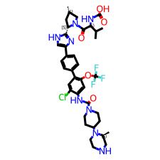 CC(C)[C@H](NC(=O)O)C(=O)N1C[C@@H](C)C[C@H]1c1nc(-c2ccc(-c3cc(Cl)c(NC(=O)N4CCC(N5CCNC[C@@H]5C)CC4)cc3OC(F)(F)F)cc2)c[nH]1